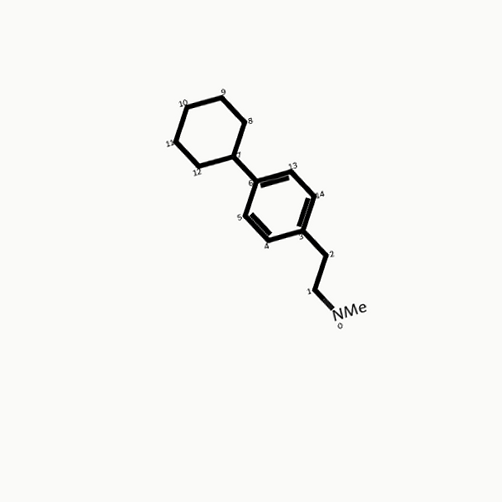 CNCCc1ccc(C2CCCCC2)cc1